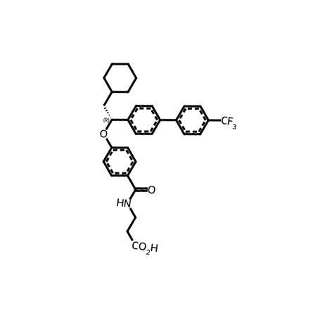 O=C(O)CCNC(=O)c1ccc(O[C@H](CC2CCCCC2)c2ccc(-c3ccc(C(F)(F)F)cc3)cc2)cc1